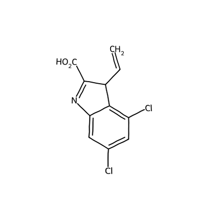 C=CC1C(C(=O)O)=Nc2cc(Cl)cc(Cl)c21